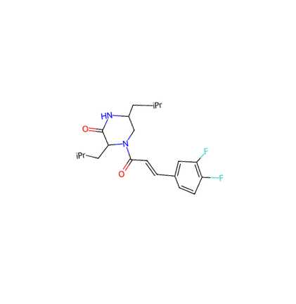 CC(C)CC1CN(C(=O)C=Cc2ccc(F)c(F)c2)C(CC(C)C)C(=O)N1